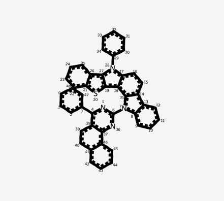 c1ccc(-c2nc(-n3c4ccccc4c4ccc5c(c6sc7ccccc7c6n5-c5ccccc5)c43)nc3c2ccc2ccccc23)cc1